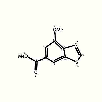 COC(=O)c1cc(OC)c2ncsc2c1